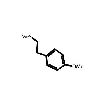 COc1ccc(CCSC)cc1